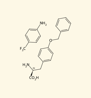 N[C@@H](Cc1ccc(OCc2ccccc2)cc1)C(=O)O.Nc1ccc(C(F)(F)F)cc1